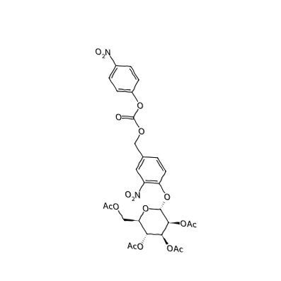 CC(=O)OC[C@H]1O[C@H](Oc2ccc(COC(=O)Oc3ccc([N+](=O)[O-])cc3)cc2[N+](=O)[O-])[C@@H](OC(C)=O)[C@@H](OC(C)=O)[C@@H]1OC(C)=O